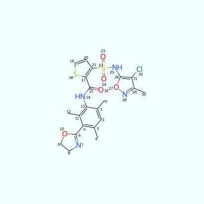 Cc1cc(C)c(C2=NCCO2)c(C)c1NC(=O)c1sccc1S(=O)(=O)Nc1onc(C)c1Cl